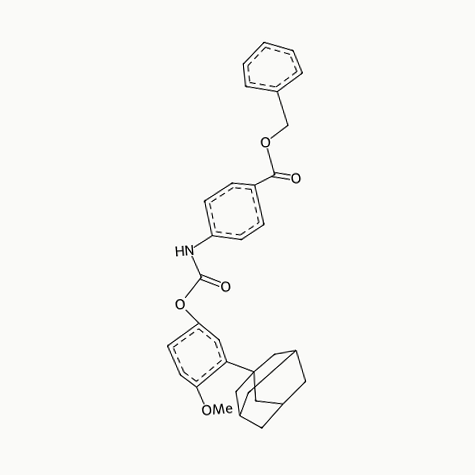 COc1ccc(OC(=O)Nc2ccc(C(=O)OCc3ccccc3)cc2)cc1C12CC3CC(CC(C3)C1)C2